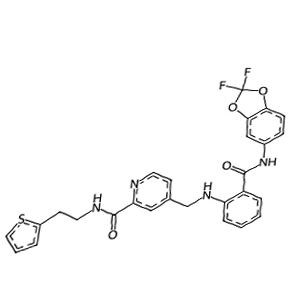 O=C(NCCc1cccs1)c1cc(CNc2ccccc2C(=O)Nc2ccc3c(c2)OC(F)(F)O3)ccn1